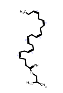 CC/C=C\C/C=C\C/C=C\C/C=C\C/C=C\C/C=C\CCC(=P)OCC(C)C